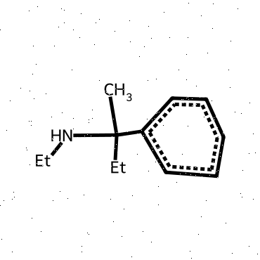 CCNC(C)(CC)c1ccccc1